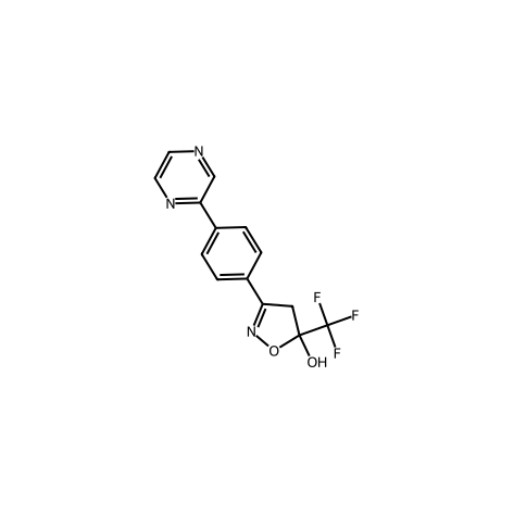 OC1(C(F)(F)F)CC(c2ccc(-c3cnccn3)cc2)=NO1